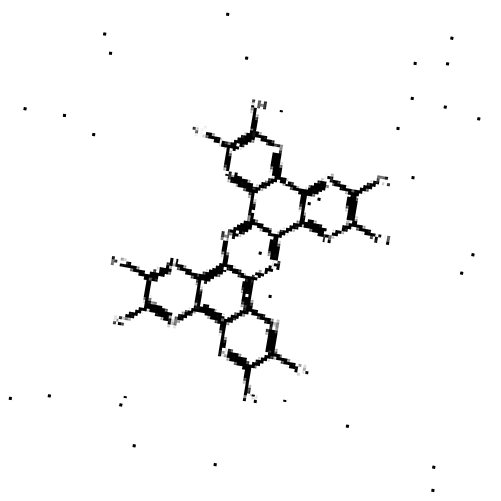 N#Cc1nc2c3nc(C#N)c(C#N)nc3c3nc4c5nc(C#N)c(C#N)nc5c5nc(C#N)c(C#N)nc5c4nc3c2nc1C#N